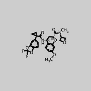 COc1ccc2c(c1)O[C@@H](C(=O)N(C)C1COC1)C[C@H]2NC(=O)C1(c2ccc3c(c2)OC(F)(F)O3)CC1